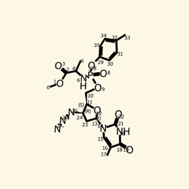 COC(=O)C(C)NP(=O)(OC[C@H]1O[C@@H](n2cc(C)c(=O)[nH]c2=O)C[C@H]1N=[N+]=[N-])Oc1ccc(C)cc1